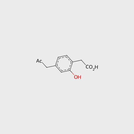 CC(=O)Cc1ccc(CC(=O)O)c(O)c1